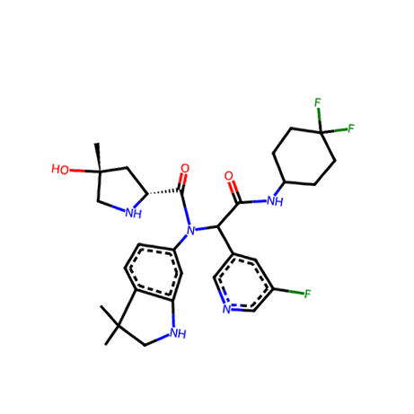 CC1(C)CNc2cc(N(C(=O)[C@H]3C[C@@](C)(O)CN3)C(C(=O)NC3CCC(F)(F)CC3)c3cncc(F)c3)ccc21